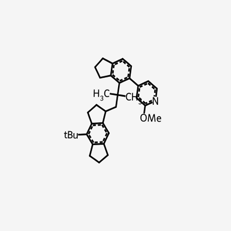 COc1cc(-c2ccc3c(c2C(C)(C)CC2CCc4c2cc2c(c4C(C)(C)C)CCC2)CCC3)ccn1